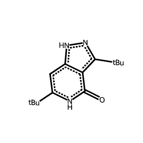 CC(C)(C)c1cc2[nH]nc(C(C)(C)C)c2c(=O)[nH]1